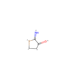 N=C1SCCC1=O